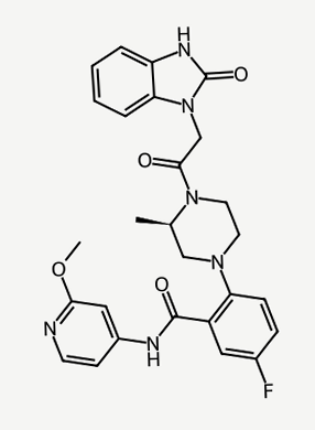 COc1cc(NC(=O)c2cc(F)ccc2N2CCN(C(=O)Cn3c(=O)[nH]c4ccccc43)[C@H](C)C2)ccn1